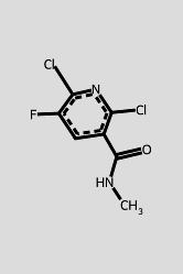 CNC(=O)c1cc(F)c(Cl)nc1Cl